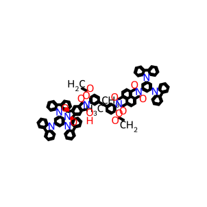 C=CC(=O)Oc1ccc(C(C)(C)c2ccc(OC(=O)C=C)c(N3C(=O)c4cc5c(cc4C3O)C(=O)N(c3c(-n4c6ccccc6c6ccccc64)cc(-n4c6ccccc6c6ccccc64)cc3-n3c4ccccc4c4ccccc43)C5=O)c2)cc1N1C(=O)c2ccc3c4c(ccc(c24)C1=O)C(=O)N(c1cc(-n2c4ccccc4c4ccccc42)cc(-n2c4ccccc4c4ccccc42)c1)C3=O